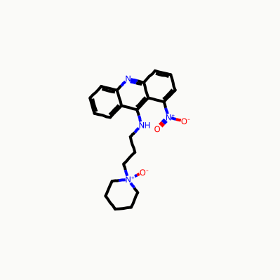 O=[N+]([O-])c1cccc2nc3ccccc3c(NCCC[N+]3([O-])CCCCC3)c12